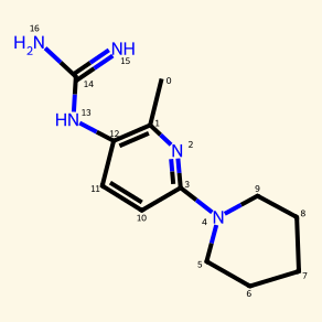 Cc1nc(N2CCCCC2)ccc1NC(=N)N